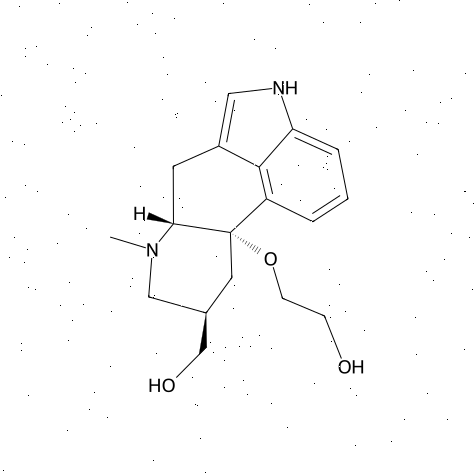 CN1C[C@H](CO)C[C@]2(OCCO)c3cccc4[nH]cc(c34)C[C@@H]12